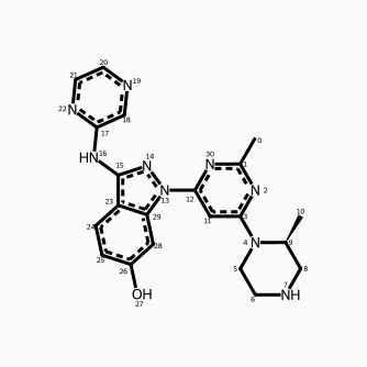 Cc1nc(N2CCNC[C@@H]2C)cc(-n2nc(Nc3cnccn3)c3ccc(O)cc32)n1